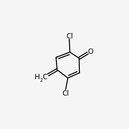 C=C1C=C(Cl)C(=O)C=C1Cl